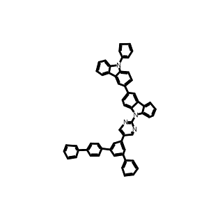 c1ccc(-c2ccc(-c3cc(-c4ccccc4)cc(-c4cnc(-n5c6ccccc6c6cc(-c7ccc8c(c7)c7ccccc7n8-c7ccccc7)ccc65)nc4)c3)cc2)cc1